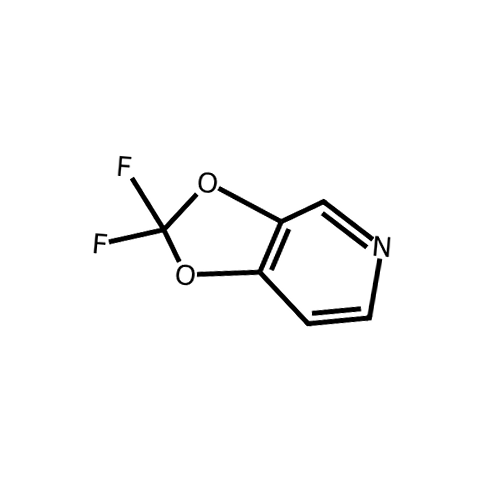 FC1(F)Oc2ccncc2O1